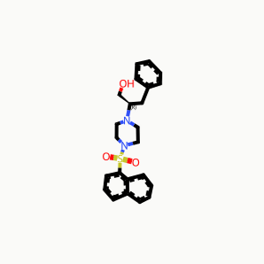 O=S(=O)(c1cccc2ccccc12)N1CCN([C@@H](CO)Cc2ccccc2)CC1